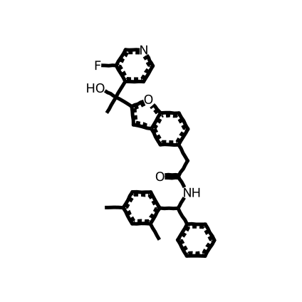 Cc1ccc(C(NC(=O)Cc2ccc3oc(C(C)(O)c4ccncc4F)cc3c2)c2ccccc2)c(C)c1